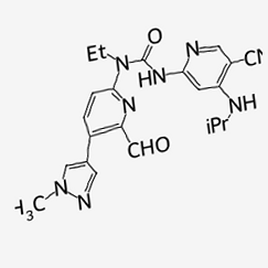 CCN(C(=O)Nc1cc(NC(C)C)c(C#N)cn1)c1ccc(-c2cnn(C)c2)c(C=O)n1